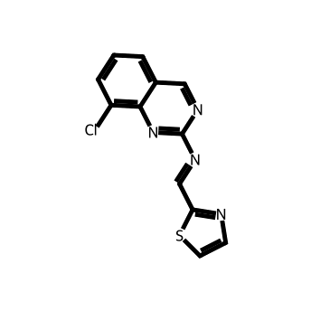 Clc1cccc2cnc(N=Cc3nccs3)nc12